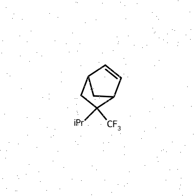 CC(C)C1(C(F)(F)F)CC2C=CC1C2